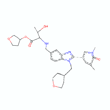 Cc1cc(-c2nc3cc(CNC(C(=O)OC4CCOC4)C(C)O)ccc3n2CC2CCOCC2)cn(C)c1=O